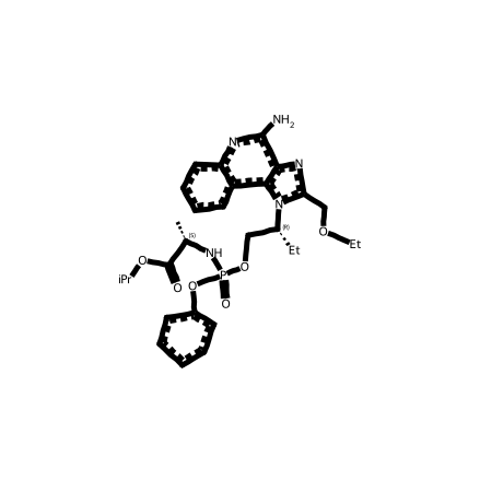 CCOCc1nc2c(N)nc3ccccc3c2n1[C@H](CC)COP(=O)(N[C@@H](C)C(=O)OC(C)C)Oc1ccccc1